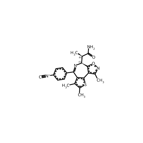 [C-]#[N+]c1ccc(C2=N[C@@H]([C@@H](C)C(N)=O)c3onc(C)c3-c3sc(C)c(C)c32)cc1